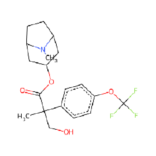 CN1C2CCC1CC(OC(=O)C(C)(CO)c1ccc(OC(F)(F)F)cc1)C2